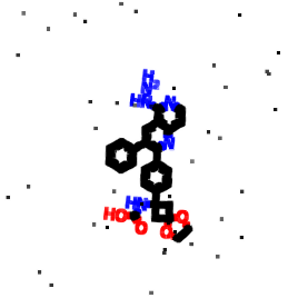 NNc1nccc2nc(-c3ccc(C4(NC(=O)O)CC5(C4)OCCO5)cc3)c(-c3ccccc3)cc12